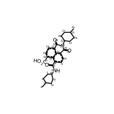 CC1CCC(NC(=O)c2ccc3c4c(ccc(C(=O)O)c24)C(=O)N(C2CCC(C)CC2)C3=O)CC1